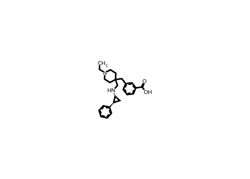 CCN1CCC(CN[C@@H]2C[C@H]2c2ccccc2)(Cc2cccc(C(=O)O)c2)CC1